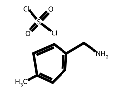 Cc1ccc(CN)cc1.O=S(=O)(Cl)Cl